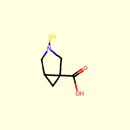 O=C(O)C12CC1CN(S)C2